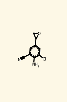 N#Cc1cc(C2CO2)cc(Cl)c1N